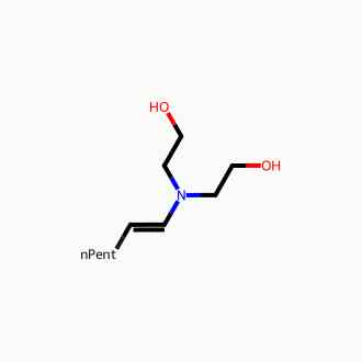 CCCCCC=CN(CCO)CCO